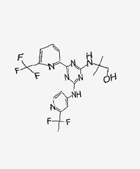 CC(C)(CO)Nc1nc(Nc2ccnc(C(C)(F)F)c2)nc(-c2cccc(C(F)(F)F)n2)n1